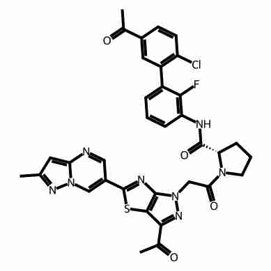 CC(=O)c1ccc(Cl)c(-c2cccc(NC(=O)[C@@H]3CCCN3C(=O)Cn3nc(C(C)=O)c4sc(-c5cnc6cc(C)nn6c5)nc43)c2F)c1